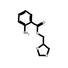 Nc1ccccc1C(=O)OCC1COCO1